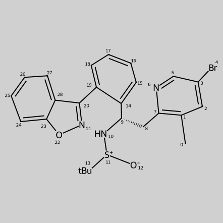 Cc1cc(Br)cnc1C[C@H](N[S+]([O-])C(C)(C)C)c1ccccc1-c1noc2ccccc12